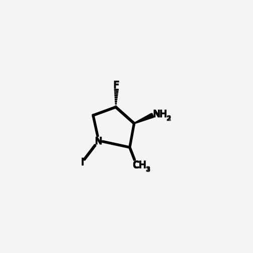 CC1[C@H](N)[C@@H](F)CN1I